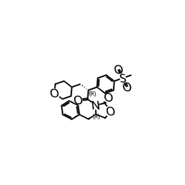 CS(=O)(=O)c1ccc([C@@H](CC2CCOCC2)C(=O)N2C(=O)OC[C@H]2Cc2ccccc2)cc1